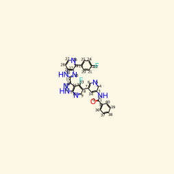 O=C(Nc1cncc(-c2cnc3[nH]nc(-c4nc5c(-c6ccc(F)cc6)nccc5[nH]4)c3c2F)c1)c1ccccc1